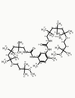 BC(C)(CNC(=O)Nc1cc(NC(=O)NCC(C)(C)CC(B)(C)CC(C)(C)OCCC(B)(C)OC)c(C)cc1C)CC(C)(C)CC(B)(C)OCCC(C)(C)OC